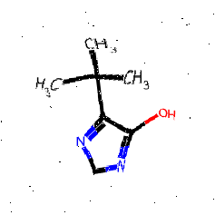 CC(C)(C)C1=NCN=C1O